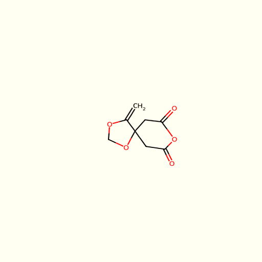 C=C1OCOC12CC(=O)OC(=O)C2